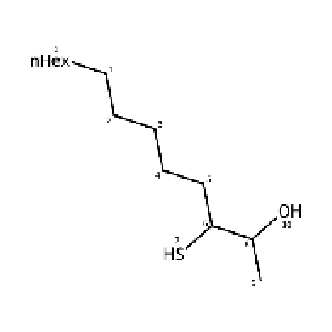 CCCCCCCCCCCC(S)C(C)O